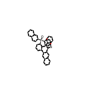 O=P(c1ccccc1)(c1ccc2ccccc2c1)c1cccc2c3cc4ccccc4cc3c3nc4ccccc4n3c12